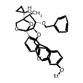 CCOc1ccc(Cc2cc([C@]34OC[C@](C5(O)CC5)(O3)[C@@H](C)[C@H](OCc3ccccc3)[C@H]4OCc3ccccc3)ccc2Cl)cc1